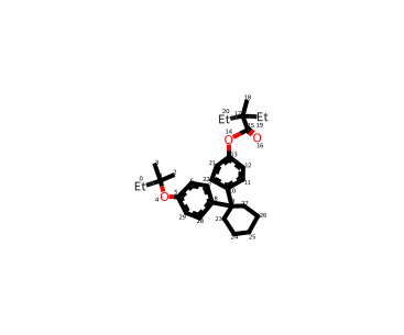 CCC(C)(C)Oc1ccc(C2(c3ccc(OC(=O)C(C)(CC)CC)cc3)CCCCC2)cc1